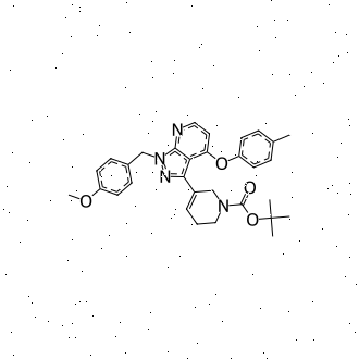 COc1ccc(Cn2nc(C3=CCCN(C(=O)OC(C)(C)C)C3)c3c(Oc4ccc(C)cc4)ccnc32)cc1